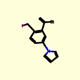 C=C(CC)c1cc(-n2cccc2)ccc1CI